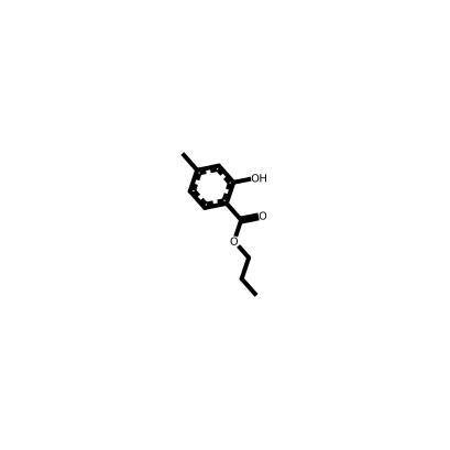 CCCOC(=O)c1ccc(C)cc1O